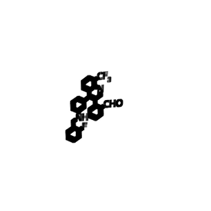 O=Cc1ccccc1-c1cnc2c(C(F)(F)F)cccc2c1-c1cccc(NCc2ccccc2F)c1